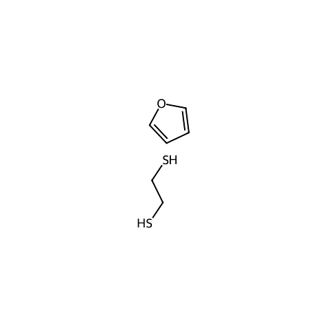 SCCS.c1ccoc1